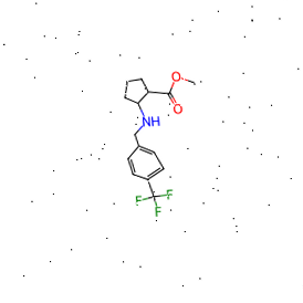 COC(=O)C1CCCC1NCc1ccc(C(F)(F)F)cc1